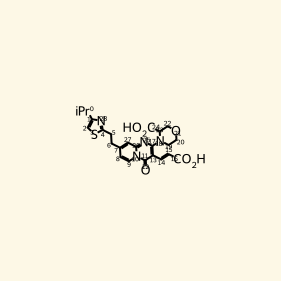 CC(C)c1csc(CCc2ccn3c(=O)c(/C=C/C(=O)O)c(N4CCOCC4C(=O)O)nc3c2)n1